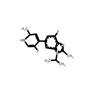 Cc1nc2c(F)cc(C3=CC(C)NC=C3F)cc2n1C(C)C